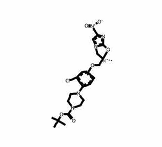 CC(C)(C)OC(=O)N1CCN(c2ccc(OC[C@@]3(C)Cn4cc([N+](=O)[O-])nc4O3)cc2Cl)CC1